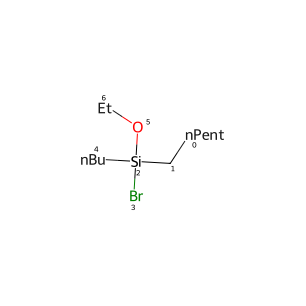 CCCCCC[Si](Br)(CCCC)OCC